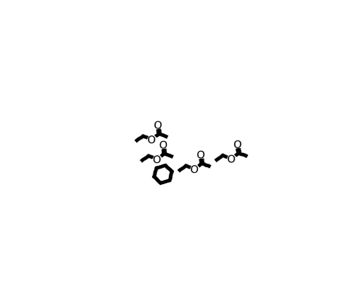 C1CCCCC1.CCOC(C)=O.CCOC(C)=O.CCOC(C)=O.CCOC(C)=O